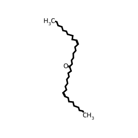 CCCCCCCC/C=C\CCCCCCCC(=O)CCCCCC/C=C\CCCCCCCCC